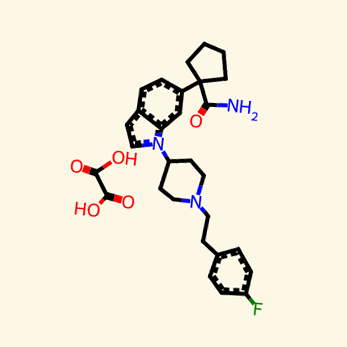 NC(=O)C1(c2ccc3ccn(C4CCN(CCc5ccc(F)cc5)CC4)c3c2)CCCC1.O=C(O)C(=O)O